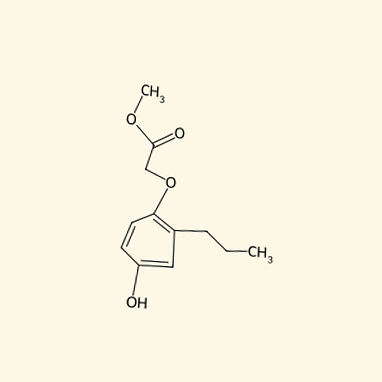 CCCc1cc(O)ccc1OCC(=O)OC